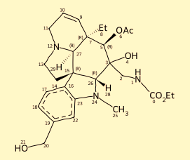 CCOC(=O)NCC1(O)[C@H](OC(C)=O)[C@]2(CC)C=CCN3CC[C@@]4(c5ccc(CO)cc5N(C)[C@@H]14)[C@@H]32